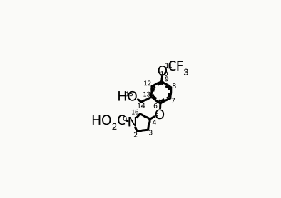 O=C(O)N1CCC(Oc2ccc(OC(F)(F)F)cc2CO)C1